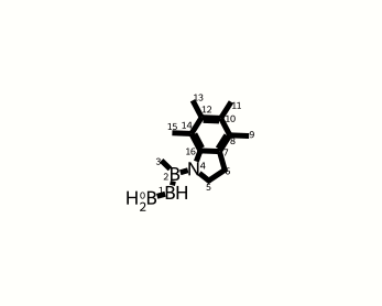 BBB(C)N1CCc2c(C)c(C)c(C)c(C)c21